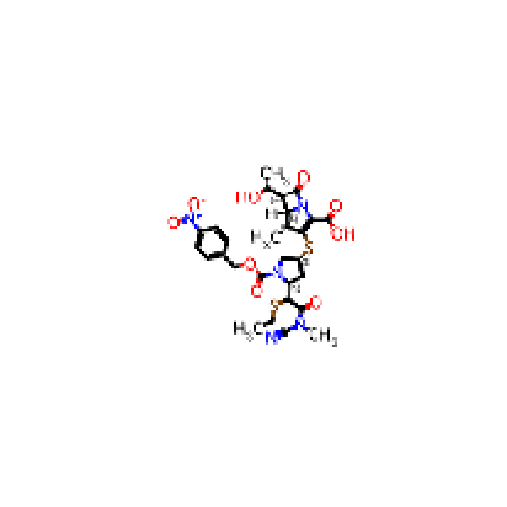 CCSC(C(=O)N(C)C#N)[C@@H]1C[C@H](SC2=C(C(=O)O)N3C(=O)[C@H]([C@@H](C)O)[C@H]3[C@H]2C)CN1C(=O)OCc1ccc([N+](=O)[O-])cc1